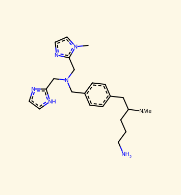 CNC(CCCN)Cc1ccc(CN(Cc2ncc[nH]2)Cc2nccn2C)cc1